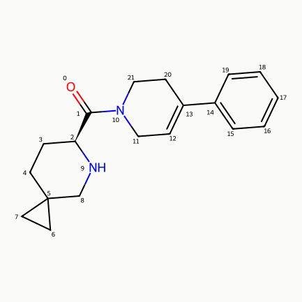 O=C([C@@H]1CCC2(CC2)CN1)N1CC=C(c2ccccc2)CC1